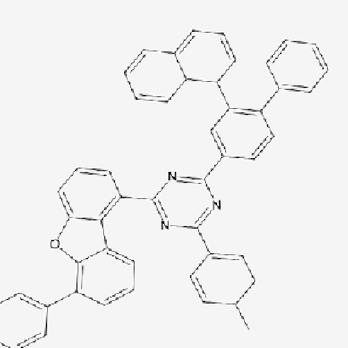 CC1C=CC(c2nc(-c3ccc(-c4ccccc4)c(C4C=CC=C5C=CC=CC54)c3)nc(-c3cccc4oc5c(-c6ccccc6)cccc5c34)n2)=CC1